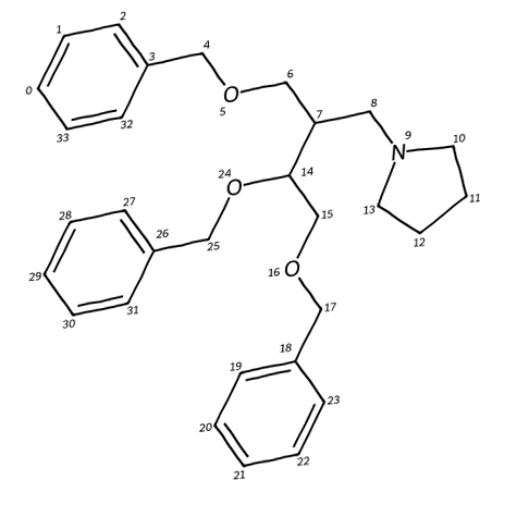 c1ccc(COCC(CN2CCCC2)C(COCc2ccccc2)OCc2ccccc2)cc1